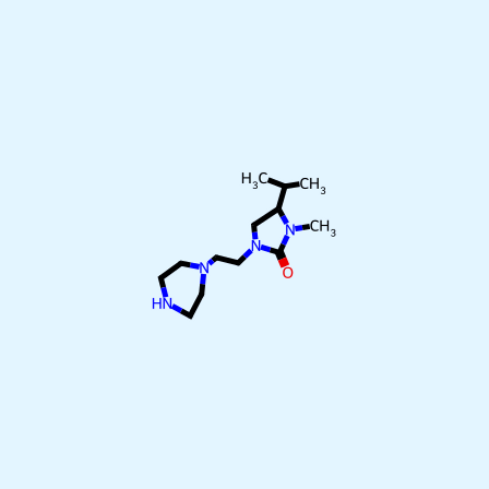 CC(C)C1CN(CCN2CCNCC2)C(=O)N1C